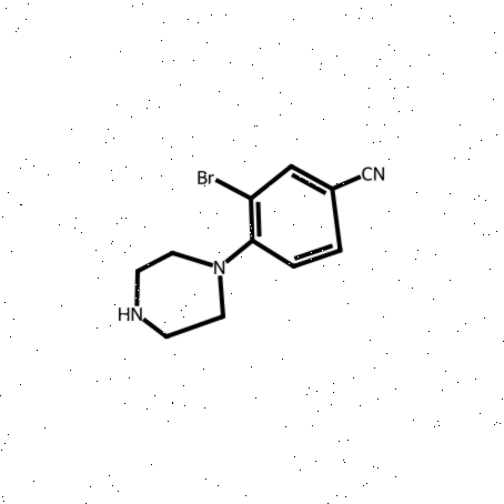 N#Cc1ccc(N2CCNCC2)c(Br)c1